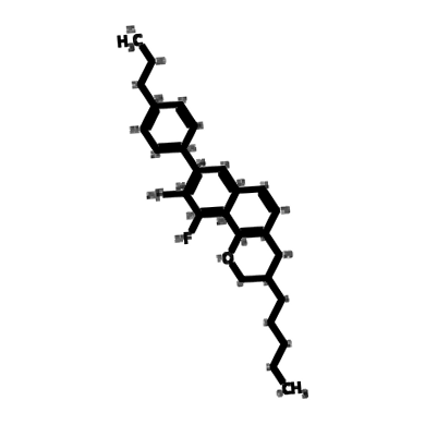 CCCCCC1COc2c(ccc3cc(-c4ccc(CCC)cc4)c(F)c(F)c23)C1